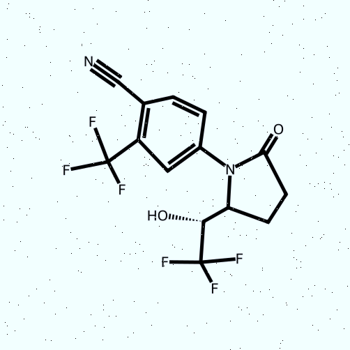 N#Cc1ccc(N2C(=O)CCC2[C@@H](O)C(F)(F)F)cc1C(F)(F)F